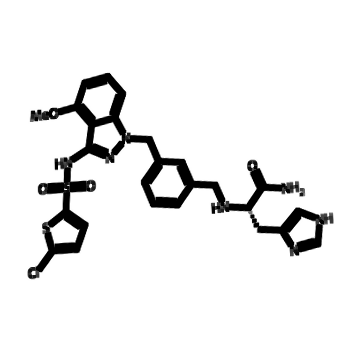 COc1cccc2c1c(NS(=O)(=O)c1ccc(Cl)s1)nn2Cc1cccc(CN[C@@H](Cc2c[nH]cn2)C(N)=O)c1